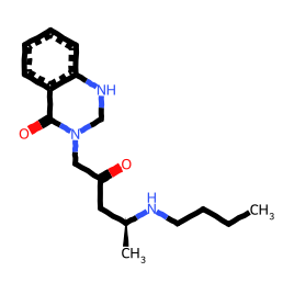 CCCCN[C@@H](C)CC(=O)CN1CNc2ccccc2C1=O